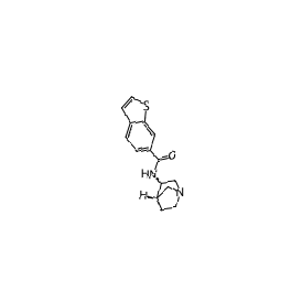 O=C(N[C@H]1CN2CC[C@H]1C2)c1ccc2ccsc2c1